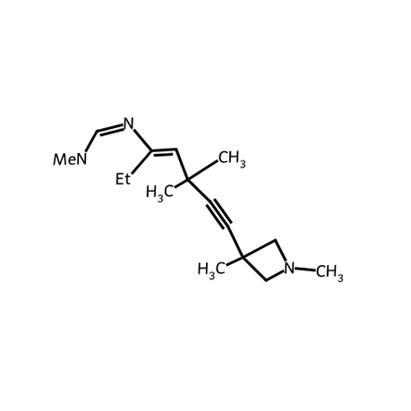 CCC(=C\C(C)(C)C#CC1(C)CN(C)C1)/N=C\NC